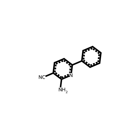 N#Cc1ccc(-c2ccccc2)nc1N